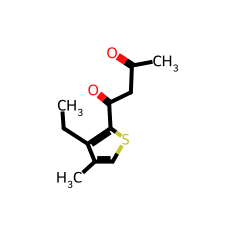 CCc1c(C)csc1C(=O)CC(C)=O